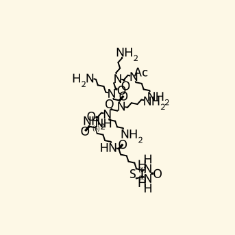 CC(=O)N(CCCCN)CC(=O)N(CCCCN)CC(=O)N(CCCCN)CC(=O)N(CCCCN)CC(=O)N(CCCCN)CC(=O)N[C@@H](CCCCNC(=O)CCCCC1SC[C@@H]2NC(=O)N[C@H]12)C(N)=O